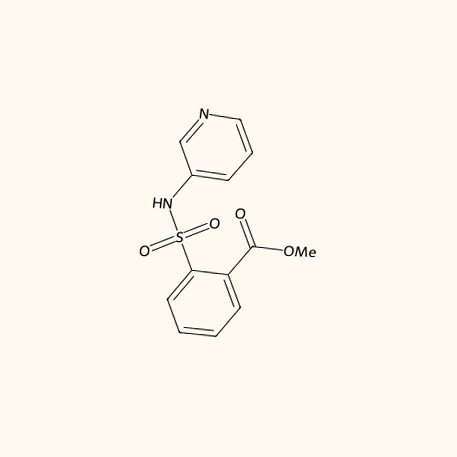 COC(=O)c1ccccc1S(=O)(=O)Nc1cccnc1